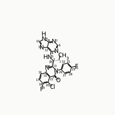 CC[C@@H](Nc1ncnc2[nH]cnc12)c1nc2ccc(F)c(Cl)c2c(=O)n1-c1ccc(F)cc1